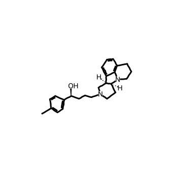 Cc1ccc([C@@H](O)CCCN2CC[C@H]3[C@@H](C2)c2cccc4c2N3CCC4)cc1